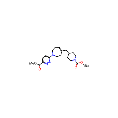 COC(=O)c1ccc(N2CCC=C(CC3CCN(C(=O)OC(C)(C)C)CC3)CC2)nn1